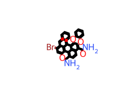 NC(=O)c1c(Oc2ccccc2)c(Oc2ccccc2)c2c3cccc4c(Br)ccc(c5c(C(N)=O)ccc1c52)c43